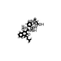 CC(C)CCC1(C)C(=O)C(C2=NS(O)(O)c3cc(NS(=O)(=O)CC(=O)O)ccc3N2)=C(O)c2ccccc21